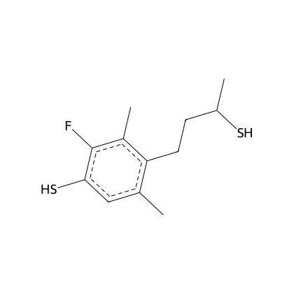 Cc1cc(S)c(F)c(C)c1CCC(C)S